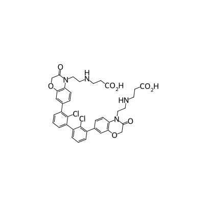 O=C(O)CCNCCN1C(=O)COc2cc(-c3cccc(-c4cccc(-c5ccc6c(c5)OCC(=O)N6CCNCCC(=O)O)c4Cl)c3Cl)ccc21